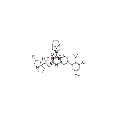 CC(C)(C)OC(=O)N1C2CCC1CN(c1nc(OC[C@@]34CCCN3C[C@H](F)C4)nc3cc(-c4cc(O)cc(Cl)c4C4CC4)cnc13)C2